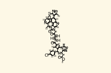 COC(=O)CC1N=C(c2ccc(Cl)cc2)c2c(sc(C(=O)NBNC(=O)Cn3c(=O)n(C(C)c4ccccn4)c4c5cc(OC)c(-c6c(C)noc6C)cc5ncc43)c2C)-n2c(C)nnc21